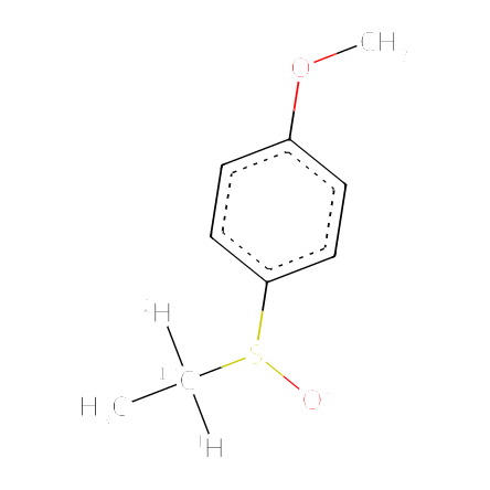 [1H][13C]([2H])(C)[S+]([O-])c1ccc(OC)cc1